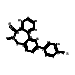 CN1Cc2ccc(-c3ccc(F)nc3)cc2-c2cccnc2C1=O